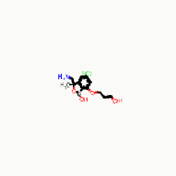 C[C@]1(CN)OB(O)c2c(OCCCO)cccc21.Cl